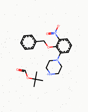 CC(C)(C)OC=O.O=[N+]([O-])c1cccc(N2CCNCC2)c1OCc1ccccc1